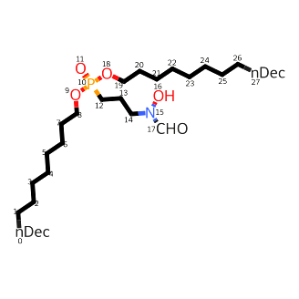 CCCCCCCCCCCCCCCCCCOP(=O)(CCCN(O)C=O)OCCCCCCCCCCCCCCCCCC